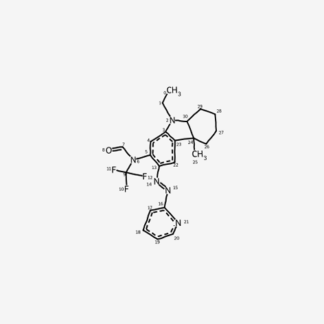 CCN1c2cc(N(C=O)C(F)(F)F)c(N=Nc3ccccn3)cc2C2(C)CCCCC12